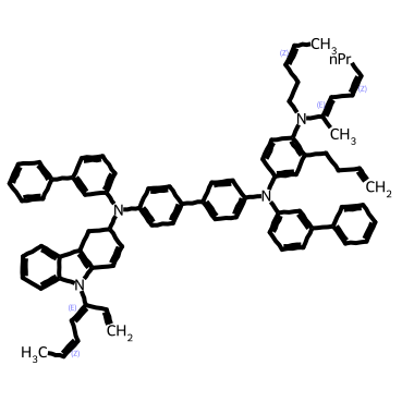 C=CCCc1cc(N(c2ccc(-c3ccc(N(c4cccc(-c5ccccc5)c4)C4C=Cc5c(c6ccccc6n5/C(C=C)=C/C=C\C)C4)cc3)cc2)c2cccc(-c3ccccc3)c2)ccc1N(CC/C=C\C)/C(C)=C/C=C\CCC